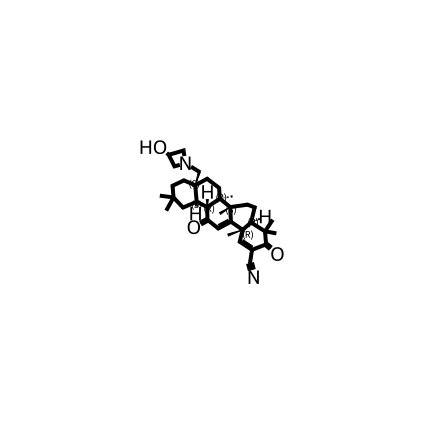 CC1(C)CC[C@]2(CN3CC(O)C3)CC[C@]3(C)[C@H](C(=O)C=C4[C@@]5(C)C=C(C#N)C(=O)C(C)(C)[C@@H]5CC[C@]43C)[C@@H]2C1